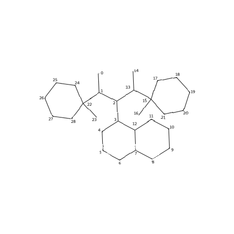 CC(C(C1CCCC2CCCCC21)C(C)C1(C)CCCCC1)C1(C)CCCCC1